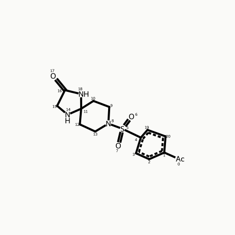 CC(=O)c1ccc(S(=O)(=O)N2CCC3(CC2)NCC(=O)N3)cc1